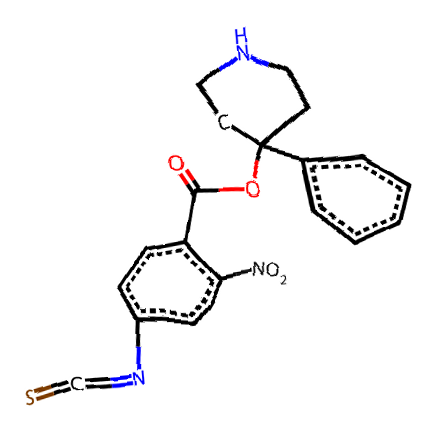 O=C(OC1(c2ccccc2)CCNCC1)c1ccc(N=C=S)cc1[N+](=O)[O-]